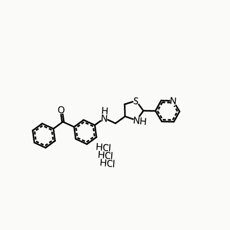 Cl.Cl.Cl.O=C(c1ccccc1)c1cccc(NCC2CSC(c3cccnc3)N2)c1